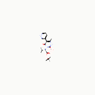 Cc1[nH]c(=O)n([C@H](C(=O)OC(C)(C)C)C(C)C)c(=O)c1-c1cccnc1